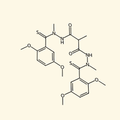 COc1ccc(OC)c(C(=S)N(C)NC(=O)C(C)C(=O)NN(C)C(=S)c2cc(OC)ccc2OC)c1